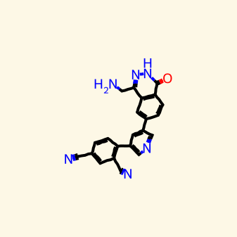 N#Cc1ccc(-c2cncc(-c3ccc4c(=O)[nH]nc(CN)c4c3)c2)c(C#N)c1